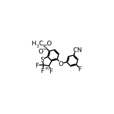 CS(=O)(=O)c1ccc(Oc2cc(F)cc(C#N)c2)c2c1SC(F)(F)[C@@H]2F